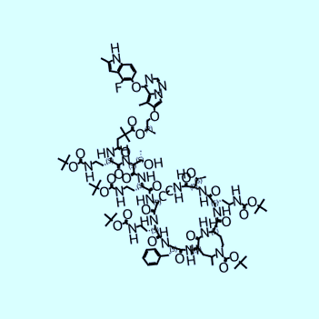 Cc1cc2c(F)c(Oc3ncnn4cc(OC[C@@H](C)OC(=O)C(C)(C)CC(=O)N[C@@H](CCNC(=O)OC(C)(C)C)C(=O)N[C@H](C(=O)N[C@@H](CCNC(=O)OC(C)(C)C)C(=O)N[C@@H]5CCNC(=O)[C@@H]([C@H](C)O)NC(=O)[C@H](CCNC(=O)OC(C)(C)C)NC(=O)[C@@H]6CCN(C(=O)OC(C)(C)C)C(C)C[C@H](NC(=O)[C@H](Cc7ccccc7)NC(=O)[C@H](CCNC(=O)OC(C)(C)C)NC5=O)C(=O)N6)[C@H](C)O)c(C)c34)ccc2[nH]1